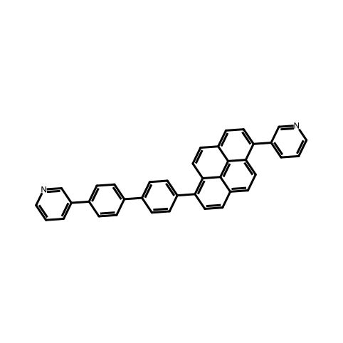 c1cncc(-c2ccc(-c3ccc(-c4ccc5ccc6c(-c7cccnc7)ccc7ccc4c5c76)cc3)cc2)c1